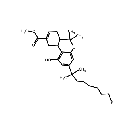 COC(=O)C1=CCC2C(C1)c1c(O)cc(C(C)(C)CCCCCCF)cc1OC2(C)C